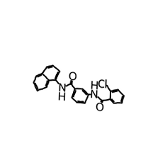 O=C(Nc1cccc2ccccc12)c1cccc(NC(=O)c2ccccc2Cl)c1